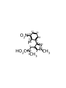 CN(Cc1cn(C)nc1-c1cccc([N+](=O)[O-])c1F)C(=O)O